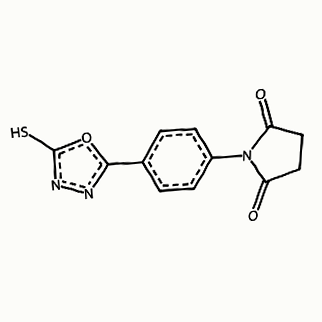 O=C1CCC(=O)N1c1ccc(-c2nnc(S)o2)cc1